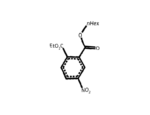 CCCCCCOC(=O)c1cc([N+](=O)[O-])ccc1C(=O)OCC